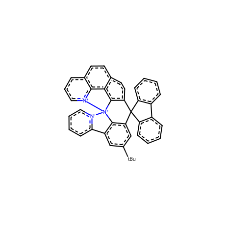 CC(C)(C)c1cc2c3c(c1)C1(c4ccccc4-c4ccccc41)c1ccc4ccc5ccc[n+]6c5c4c1[N+]36[n+]1ccccc1-2